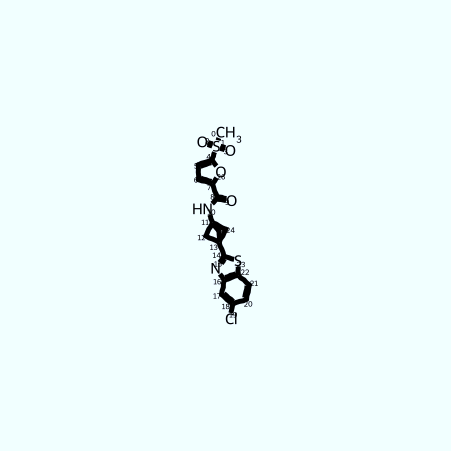 CS(=O)(=O)c1ccc(C(=O)NC23CC(c4nc5cc(Cl)ccc5s4)(C2)C3)o1